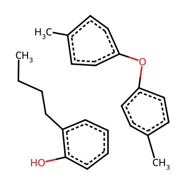 CCCCc1ccccc1O.Cc1ccc(Oc2ccc(C)cc2)cc1